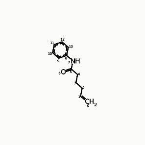 C=CCCCC(=O)Nc1ccccc1